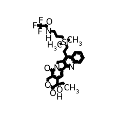 CC[C@@]1(O)C(=O)OCc2c1cc1n(c2=O)Cc2c-1nc1ccccc1c2CC[Si](C)(C)CCCNC(=O)C(F)(F)F